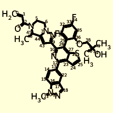 C=CC(=O)N1CCn2nc(-c3nc(-c4ccc5c(cnn5C)c4)c4ccsc4c3-c3c(F)cc(F)cc3OCC(C)(C)O)cc2C1C